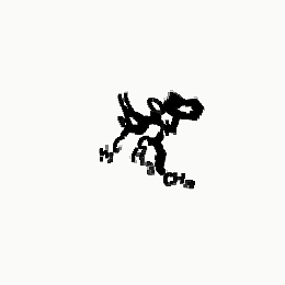 CCCC(C)N(Cc1ccccc1)C(=O)c1cc(C)n[nH]1